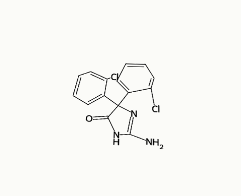 NC1=NC(c2ccccc2Cl)(c2ccccc2Cl)C(=O)N1